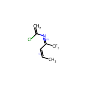 C=C(Cl)/N=C(\C=C/C)C(F)(F)F